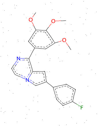 COc1cc(-c2nccn3cc(-c4ccc(F)cc4)cc23)cc(OC)c1OC